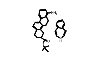 C1=Cc2ccccc2C=CN1.CC(C)(C)OC(=O)C1CCc2ccc3c(c2C1)CCc1c(N)cccc1-3